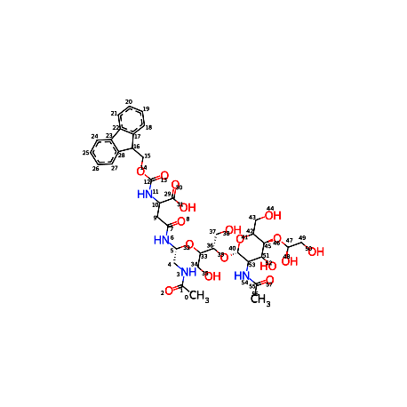 CC(=O)NC[C@H](NC(=O)CC(NC(=O)OCC1c2ccccc2-c2ccccc21)C(=O)O)OC(CO)[C@H](CO)O[C@@H]1OC(CO)[C@@H](O[C@H](O)CO)C(O)C1NC(C)=O